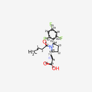 C=CCC(=O)N1[C@@H](/C=C/C(=O)O)CC[C@H]1c1c(F)cc(F)cc1F